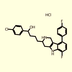 Cl.OC(CCCC1Cc2[nH]c3c(F)ccc(-c4ccc(F)cc4)c3c2CN1)c1ccc(Cl)cc1